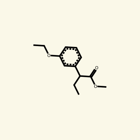 CCOc1cccc(C(CC)C(=O)OC)c1